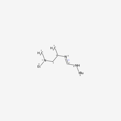 CCN(C)CC(C)/N=C/NC(C)(C)C